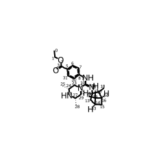 CCOC(=O)c1ccc(N/C(=N/[C@H]2C[C@H]3C[C@@H]([C@@H]2C)C3(C)C)N2C[C@@H](C)N[C@@H](C)C2)cc1